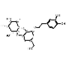 C[C@@H]1O[C@@H](O[C@@H]2[CH][C@H](CO)O[C@@H](OCCc3ccc(O)c(O)c3)[C@@H]2O)[C@H](O)[C@H](O)[C@H]1O